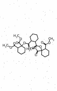 COC(=O)C1CCCCC1(OC(=O)C1CCCCC1C(=O)OC1(C(=O)OC)CCCCC1C(=O)OC)C(=O)OC